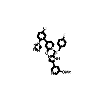 COc1cncc(-c2cnc([C@@H](Cc3ccc(F)cc3)n3ccc(-c4cc(Cl)ccc4-n4cnnn4)cc3=O)[nH]2)c1